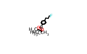 CC1(C)OB(c2ccc(CCCF)cc2)OC1(C)C